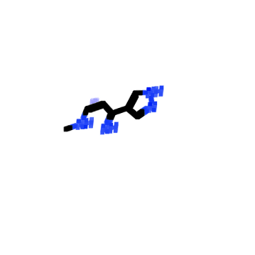 CN/C=C\C(=N)c1cn[nH]c1